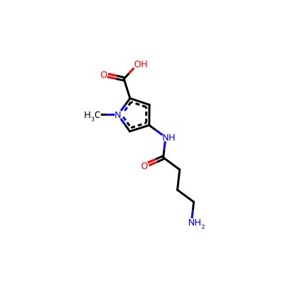 Cn1cc(NC(=O)CCCN)cc1C(=O)O